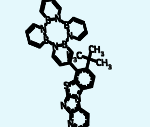 CC(C)(C)c1ccc2c(sc3nc4ncccc4n32)c1C1=CB2N3C=CC=CB3N3C=CC=CB3N3C=CC=CB3N2C=C1